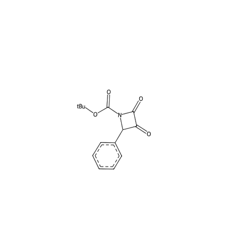 CC(C)(C)OC(=O)N1C(=O)C(=O)C1c1ccccc1